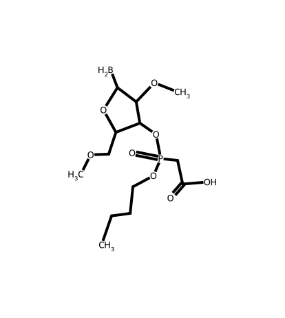 BC1OC(COC)C(OP(=O)(CC(=O)O)OCCCC)C1OC